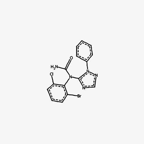 NC(=O)N(c1c(Cl)cccc1Br)c1ncnn1-c1ccccc1